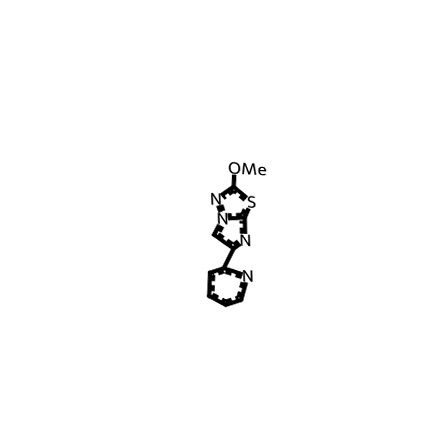 COc1nn2cc(-c3ccccn3)nc2s1